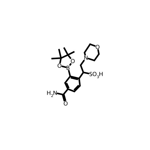 CC1(C)OB(c2cc(C(N)=O)ccc2C(CN2CCOCC2)S(=O)(=O)O)OC1(C)C